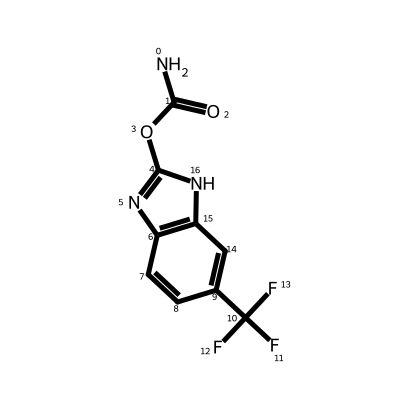 NC(=O)Oc1nc2ccc(C(F)(F)F)cc2[nH]1